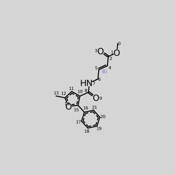 COC(=O)/C=C/CNC(=O)c1cc(C)oc1-c1ccccc1